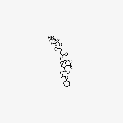 CC(OC(=O)C1C2OC3C(OC(=O)C31)C2OC(=O)CCC(=O)OC(C)C(F)(F)S(=O)(=O)O)OC1CCCCC1